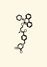 CN(CCOC(=O)N(c1ccccc1-c1ccccc1)N1CC[CH]CC1)C(=O)c1ccc(CN2CCNC(=O)C2)cc1